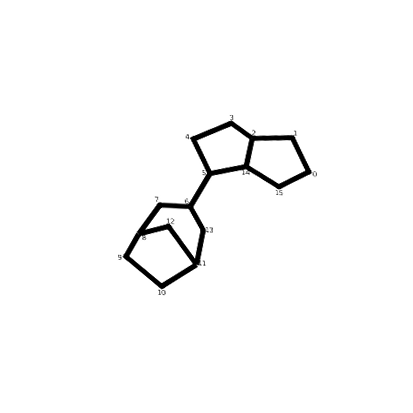 C1CC2CCC(C3CC4CCC(C4)C3)C2C1